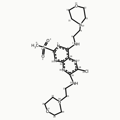 CS(=O)(=O)c1nc(NCCN2CCOCC2)c2nc(Cl)c(NCCN3CCOCC3)nc2n1